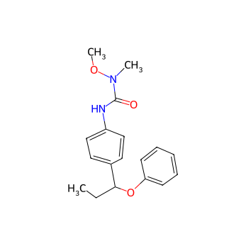 CCC(Oc1ccccc1)c1ccc(NC(=O)N(C)OC)cc1